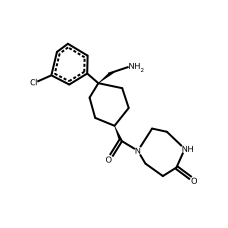 NC[C@]1(c2cccc(Cl)c2)CC[C@H](C(=O)N2CCNC(=O)CC2)CC1